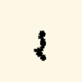 FC(CCC1(F)CCN(CCCc2c[nH]c3ccc(-n4cnnc4)cc23)CC1)c1ccccc1